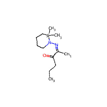 CCCC(=O)C(C)=NN1CCCC[Si]1(C)C